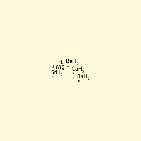 [BaH2].[BeH2].[CaH2].[MgH2].[SrH2]